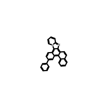 c1ccc(-c2ccc3c(c2)c2c4ccccc4ccc2c2nc4ccccn4c32)cc1